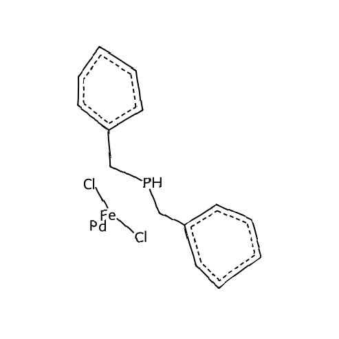 [Cl][Fe][Cl].[Pd].c1ccc(CPCc2ccccc2)cc1